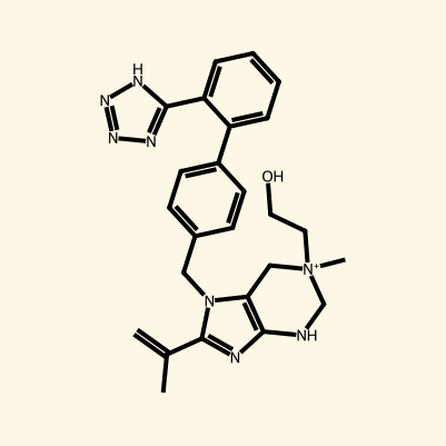 C=C(C)c1nc2c(n1Cc1ccc(-c3ccccc3-c3nnn[nH]3)cc1)C[N+](C)(CCO)CN2